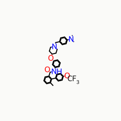 Cc1cccc(C(=O)Nc2cccc(OC3CCN(Cc4ccc(N(C)C)cc4)CC3)c2)c1-c1ccc(OC(F)(F)F)cc1